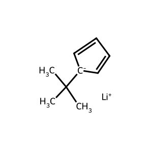 CC(C)(C)[c-]1cccc1.[Li+]